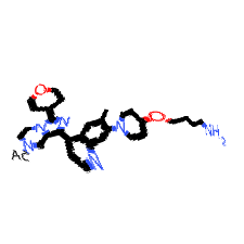 CC(=O)N1CCn2c(C3CCOCC3)nc(-c3ccnc4cc(N5CCC(OCCCCN)CC5)c(C)cc34)c2C1